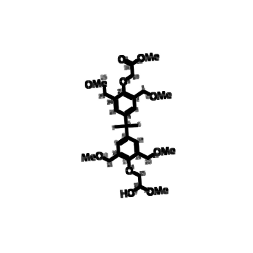 COCc1cc(C(C)(C)c2cc(COC)c(OCC(O)OC)c(COC)c2)cc(COC)c1OCC(=O)OC